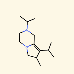 CC(C)C1=C2CN(C(C)C)CCN2CC1C